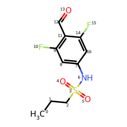 CCCS(=O)(=O)Nc1cc(F)c(C=O)c(F)c1